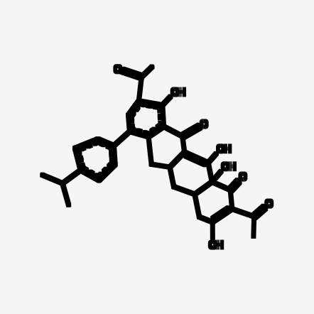 CC(=O)C1=C(O)CC2CC3Cc4c(-c5ccc(C(C)C)cc5)cc(C(C)=O)c(O)c4C(=O)C3=C(O)C2(O)C1=O